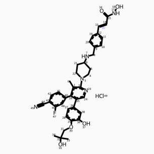 Cc1c(N2CCC(NCc3ccc(/C=C/C(=O)NO)cc3)CC2)ncc(-c2ccc(OCC(C)(C)O)c(O)c2)c1-c1ccc(C#N)c(F)c1.Cl